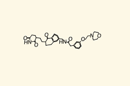 O=C(Cc1cccc(OCCN2CCOCC2)c1)NCc1ccc2c(c1)CCC(CCC1CCC(=O)NC1=O)C2=O